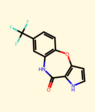 O=C1Nc2cc(C(F)(F)F)ccc2Oc2cc[nH]c21